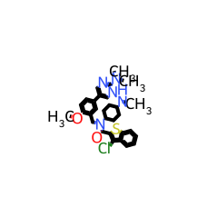 CN[C@H]1CC[C@H](N(Cc2cc(-c3cnc(N(C)C)nc3)ccc2OC)C(=O)c2sc3ccccc3c2Cl)CC1